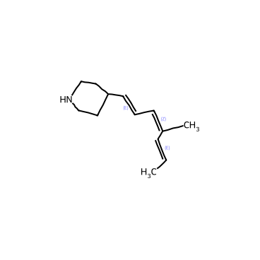 C/C=C/C(C)=C\C=C\C1CCNCC1